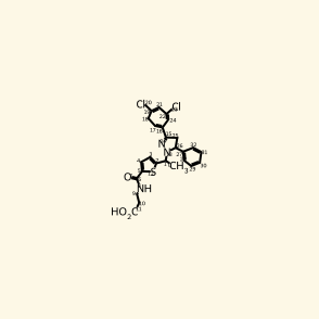 CC(c1ccc(C(=O)NCCC(=O)O)s1)N1N=C(C2=CCC(Cl)=CC(Cl)=C2)CC1c1ccccc1